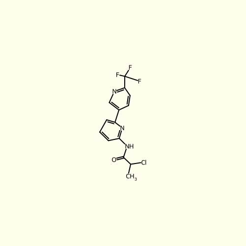 CC(Cl)C(=O)Nc1cccc(-c2ccc(C(F)(F)F)nc2)n1